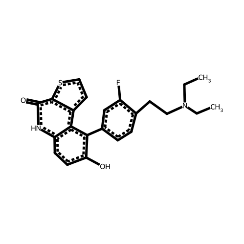 CCN(CC)CCc1ccc(-c2c(O)ccc3[nH]c(=O)c4sccc4c23)cc1F